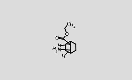 CCOC(=O)[C@@H]1C2CCC(CC2)[C@H]1N